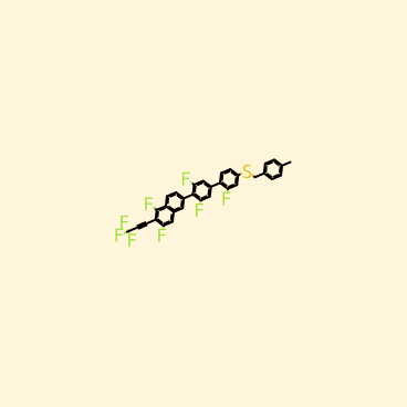 Cc1ccc(CSc2ccc(-c3cc(F)c(-c4ccc5c(F)c(C#CC(F)(F)F)c(F)cc5c4)c(F)c3)c(F)c2)cc1